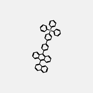 c1ccc([Si](c2ccccc2)(c2ccccc2)c2ccc(-c3ccc(-c4c5ccccc5c(-c5cccc6ccccc56)c5ccccc45)cc3)cc2)cc1